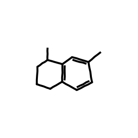 Cc1ccc2c(c1)C(C)CCC2